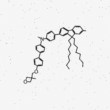 CCCCCCCCC1(CCCCCCCC)c2cc(C)ccc2-c2ccc(-c3ccc(N(C)c4ccc(-c5ccc(OCC6(C)COC6)cc5)cc4)cc3)cc21